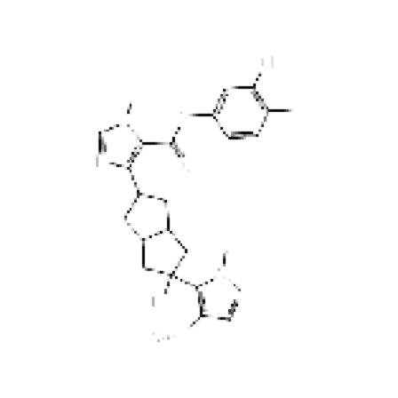 COc1cnn(C)c1C1(O)CC2CC(c3ncn(C)c3C(=O)Nc3ccc(F)c(Cl)c3)CC2C1